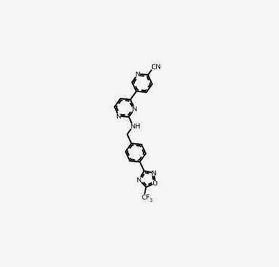 N#Cc1ccc(-c2ccnc(NCc3ccc(-c4noc(C(F)(F)F)n4)cc3)n2)cn1